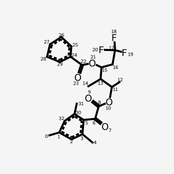 Cc1cc(C)c(C(=O)C(=O)OC(C)C(C)C(CC(F)(F)F)OC(=O)c2ccccc2)c(C)c1